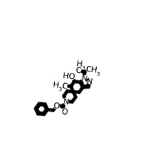 CC(C)n1ncc2c1C(O)C(C)C1(CCN(C(=O)OCc3ccccc3)CC1)C2